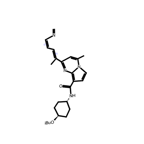 C=N/C=C\C=C(/C)c1cc(C)n2ccc(C(=O)N[C@H]3CC[C@H](OCC(C)C)CC3)c2n1